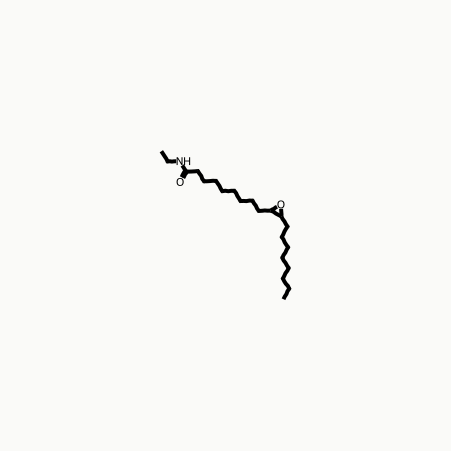 CCCCCCCCC1OC1CCCCCCCCC(=O)NCC